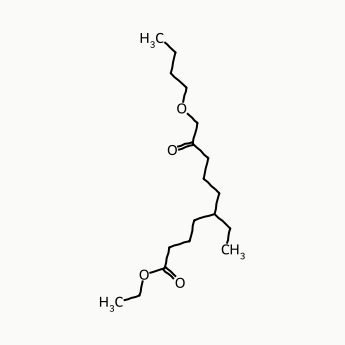 CCCCOCC(=O)CCCC(CC)CCCC(=O)OCC